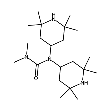 CN(C)C(=O)N(C1CC(C)(C)NC(C)(C)C1)C1CC(C)(C)NC(C)(C)C1